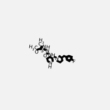 CC(=O)c1sc(NC(=O)N[C@@H]2CCNC[C@H]2CN2CCCC(Cc3ccc(F)cc3)C2)nc1C